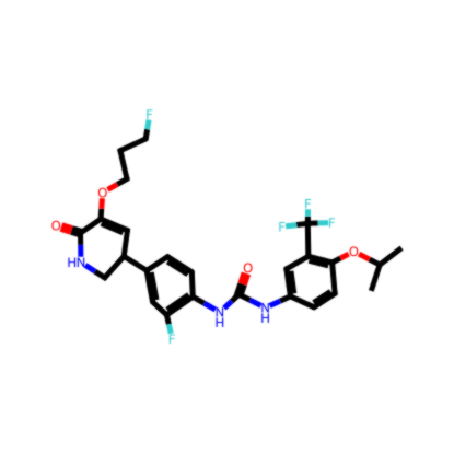 CC(C)Oc1ccc(NC(=O)Nc2ccc(C3C=C(OCCCF)C(=O)NC3)cc2F)cc1C(F)(F)F